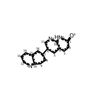 O=c1ccc2cc(-c3ccc4ncccc4c3)cnc2[nH]1